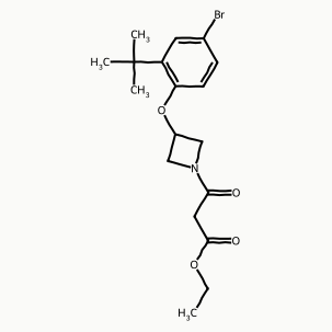 CCOC(=O)CC(=O)N1CC(Oc2ccc(Br)cc2C(C)(C)C)C1